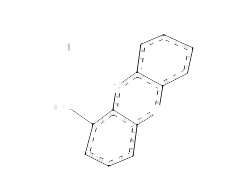 CCC(C)c1cccc2[s+]c3ccccc3nc12.I.I.I.O.[I-]